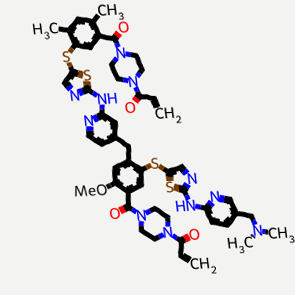 C=CC(=O)N1CCN(C(=O)c2cc(Sc3cnc(Nc4cc(Cc5cc(OC)c(C(=O)N6CCN(C(=O)C=C)CC6)cc5Sc5cnc(Nc6ccc(CN(C)C)cn6)s5)ccn4)s3)c(C)cc2C)CC1